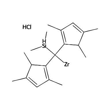 CC1=CC(C)=C([C]([Zr])(C2=C(C)C=C(C)C2C)[SiH](C)C)C1C.Cl